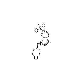 CS(=O)(=O)c1ccc2[c]cn(CC3CCOCC3)c2c1